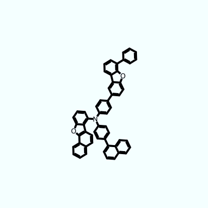 c1ccc(-c2cccc3c2oc2ccc(-c4ccc(N(c5ccc(-c6cccc7ccccc67)cc5)c5cccc6oc7c8ccccc8ccc7c56)cc4)cc23)cc1